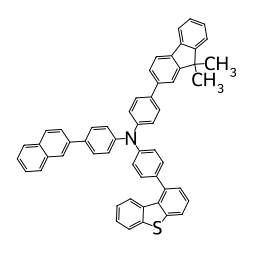 CC1(C)c2ccccc2-c2ccc(-c3ccc(N(c4ccc(-c5ccc6ccccc6c5)cc4)c4ccc(-c5cccc6sc7ccccc7c56)cc4)cc3)cc21